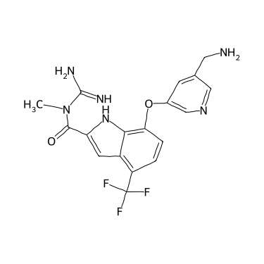 CN(C(=N)N)C(=O)c1cc2c(C(F)(F)F)ccc(Oc3cncc(CN)c3)c2[nH]1